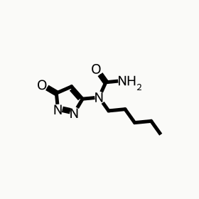 CCCCCN(C(N)=O)C1=CC(=O)N=N1